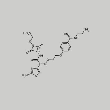 C[C@H]1[C@H](NC(=O)C(=NOCCOc2ccc(C(=N)NCCN)cc2)c2csc(N)n2)C(=O)N1OCS(=O)(=O)O